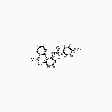 CSc1ccccc1-c1c(Cl)ncnc1NS(=O)(=O)c1ccc(C(C)C)cc1